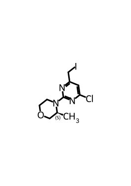 C[C@H]1COCCN1c1nc(Cl)cc(CI)n1